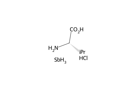 CC(C)[C@H](N)C(=O)O.Cl.[SbH3]